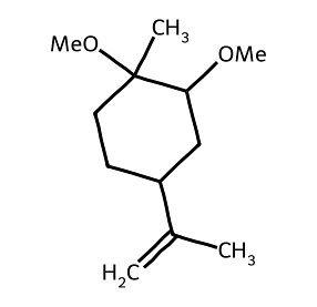 C=C(C)C1CCC(C)(OC)C(OC)C1